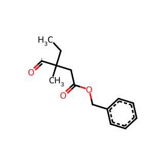 CCC(C)([C]=O)CC(=O)OCc1ccccc1